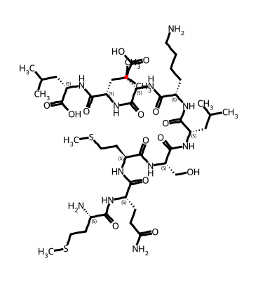 CSCC[C@H](NC(=O)[C@H](CCC(N)=O)NC(=O)[C@@H](N)CCSC)C(=O)N[C@@H](CO)C(=O)N[C@@H](CC(C)C)C(=O)N[C@@H](CCCCN)C(=O)N[C@@H](CC(=O)O)C(=O)N[C@@H](CC(C)C)C(=O)N[C@@H](CC(C)C)C(=O)O